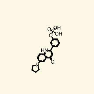 O=c1cc(-c2cccc(OP(=O)(O)O)c2)[nH]c2ccc(N3CCCC3)cc12